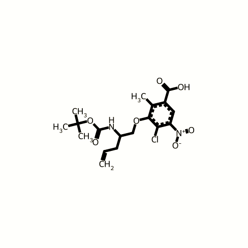 C=CCC(COc1c(C)c(C(=O)O)cc([N+](=O)[O-])c1Cl)NC(=O)OC(C)(C)C